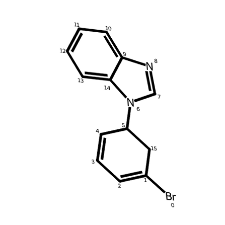 BrC1=CC=CC(n2cnc3ccccc32)C1